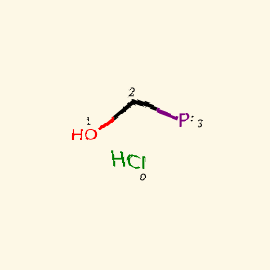 Cl.OC[P]